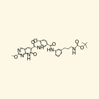 COc1ncc2cc(C(=O)Nc3cc(C(=O)Nc4cccc(CCCNC(=O)OC(C)(C)C)c4)ccc3Cl)c(=O)[nH]c2n1